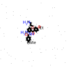 CCOc1ccc(C(=O)c2cccc(N)c2NC(=O)c2ccc(OC)cc2)c(OCCCN)c1